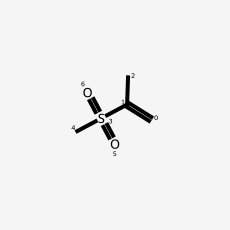 C=C(C)S(C)(=O)=O